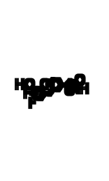 O=C(O)N1CCC(c2cc(=O)[nH]o2)CC1Cc1ccc(F)c(F)c1